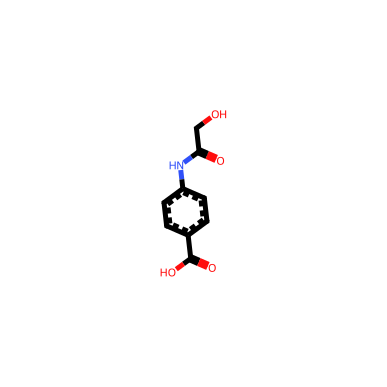 O=C(CO)Nc1ccc(C(=O)O)cc1